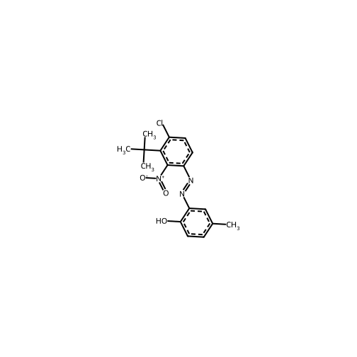 Cc1ccc(O)c(N=Nc2ccc(Cl)c(C(C)(C)C)c2[N+](=O)[O-])c1